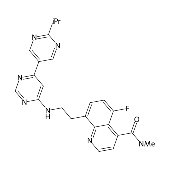 CNC(=O)c1ccnc2c(CCNc3cc(-c4cnc(C(C)C)nc4)ncn3)ccc(F)c12